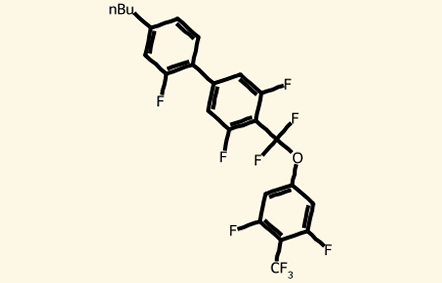 CCCCc1ccc(-c2cc(F)c(C(F)(F)Oc3cc(F)c(C(F)(F)F)c(F)c3)c(F)c2)c(F)c1